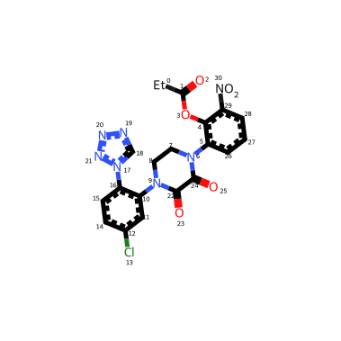 CCC(=O)Oc1c(N2CCN(c3cc(Cl)ccc3-n3cnnn3)C(=O)C2=O)cccc1[N+](=O)[O-]